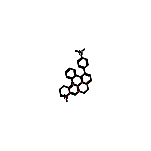 CN(C)c1ccc(-c2cccc(-c3ccc(N(C)C)cc3)c2-c2ccccc2P(C2CCCCC2)C2CCCCC2)cc1